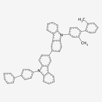 Cc1ccccc1-c1ccc(-n2c3ccccc3c3cc(-c4ccc5c(c4)c4ccccc4n5-c4ccc(-c5ccccc5)cc4)ccc32)cc1C